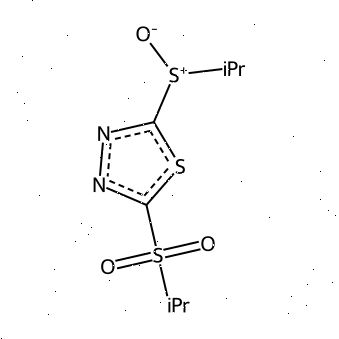 CC(C)[S+]([O-])c1nnc(S(=O)(=O)C(C)C)s1